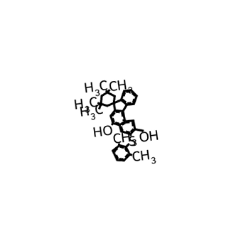 Cc1cccc(C)c1Sc1cc2c(O)cc3c(c2cc1CO)-c1ccccc1C31CC(C)(C)CC(C)(C)C1